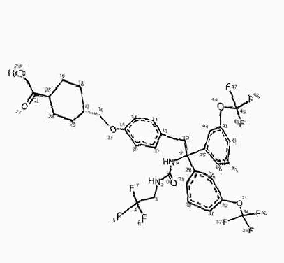 O=C(NCC(F)(F)F)NC(Cc1ccc(OC[C@H]2CC[C@H](C(=O)O)CC2)cc1)(c1cccc(OC(F)(F)F)c1)c1cccc(OC(F)(F)F)c1